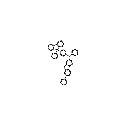 c1ccc(-c2ccc3c(c2)Cc2cc(N(c4ccccc4)c4ccc(C5(c6ccccc6)c6ccccc6-c6ccccc65)cc4)ccc2-3)cc1